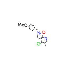 COc1ccc(Cn2ccc3c(Cl)c(C)cnc3c2=O)cc1